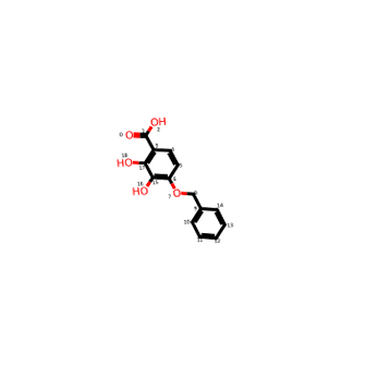 O=C(O)c1ccc(OCc2ccccc2)c(O)c1O